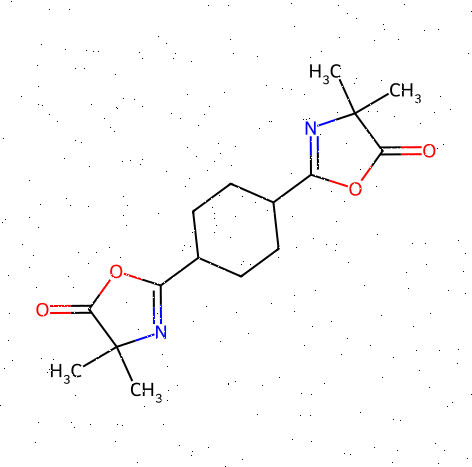 CC1(C)N=C(C2CCC(C3=NC(C)(C)C(=O)O3)CC2)OC1=O